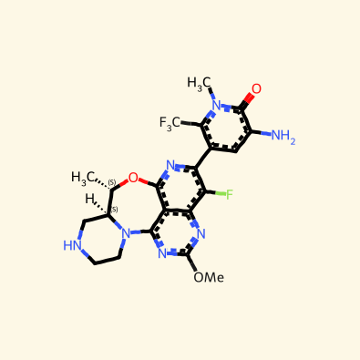 COc1nc2c3c(nc(-c4cc(N)c(=O)n(C)c4C(F)(F)F)c(F)c3n1)O[C@@H](C)[C@@H]1CNCCN21